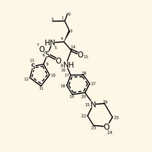 CC(C)C[C@H](NS(=O)(=O)c1cccs1)C(=O)Nc1ccc(N2CCOCC2)cc1